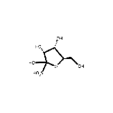 O=S(=O)(O)C1(O)O[C@H](CO)[C@@H](O)[C@H]1O